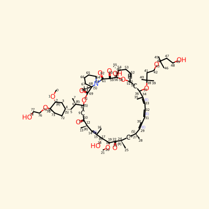 CO[C@@H]1C[C@H](C[C@@H](C)[C@@H]2CC(=O)[C@H](C)/C=C(\C)[C@@H](O)[C@@H](OC)C(=O)[C@H](C)C[C@H](C)/C=C/C=C/C=C(\C)C(OC(C)(C)CCOC(C)(C)CCO)C[C@@H]3CC[C@@H](C)[C@@](O)(O3)C(=O)C(=O)N3CCCC[C@H]3C(=O)O2)CC[C@H]1OCCO